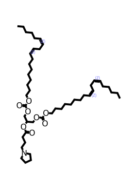 CCCCC/C=C\C/C=C\CCCCCCCCOC(=O)OCC(COC(=O)OCCCCCCCC/C=C\C/C=C\CCCCC)OC(=O)CCCN1CCCC1